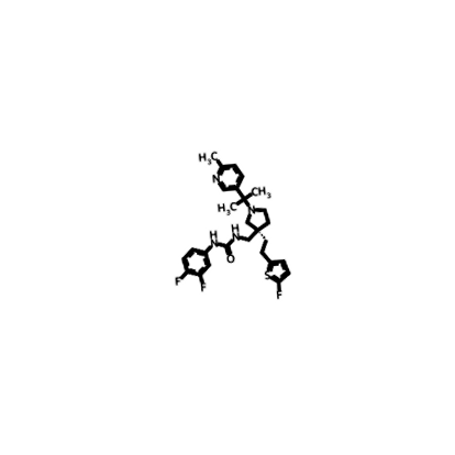 Cc1ccc(C(C)(C)N2CC[C@@](CCc3ccc(F)s3)(CNC(=O)Nc3ccc(F)c(F)c3)C2)cn1